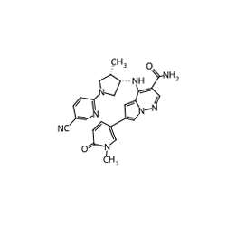 C[C@H]1CN(c2ccc(C#N)cn2)C[C@H]1Nc1c(C(N)=O)cnn2cc(-c3ccc(=O)n(C)c3)cc12